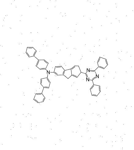 C1=C2Cc3cc(N(c4ccc(-c5ccccc5)cc4)c4ccc(-c5ccccc5)cc4)ccc3C2=CCC1c1nc(-c2ccccc2)nc(-c2ccccc2)n1